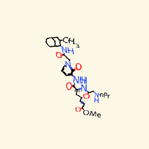 CCCNCC(=O)N[C@@H](CC/C=C/C(=O)OC)C(=O)Nc1cccn(CC(=O)NC2C(C)CC3CCCC2C3)c1=O